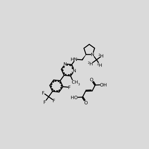 O=C(O)/C=C/C(=O)O.[2H]C([2H])([2H])N1CCC[C@@H]1CNc1ncc(-c2ccc(C(F)(F)F)cc2F)c(C)n1